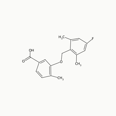 Cc1ccc(C(=O)O)cc1OCc1c(C)cc(F)cc1C